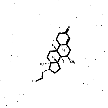 C[C@@H]1CC2=CC(=O)CC[C@@H]2[C@H]2CC[C@]3(C)[C@@H](CCO)CC[C@H]3[C@@H]21